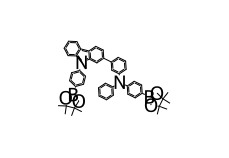 CC1(C)OB(c2ccc(N(c3ccccc3)c3cccc(-c4ccc5c6ccccc6n(-c6ccc(B7OC(C)(C)C(C)(C)O7)cc6)c5c4)c3)cc2)OC1(C)C